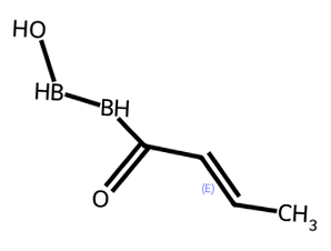 C/C=C/C(=O)BBO